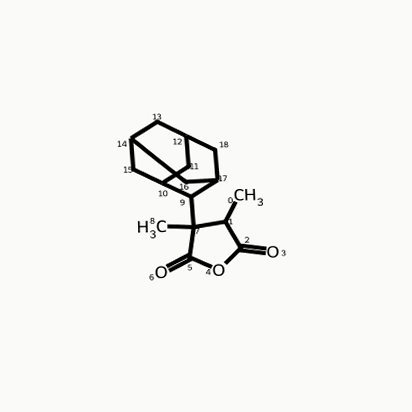 CC1C(=O)OC(=O)C1(C)C1C2CC3CC(C2)CC1C3